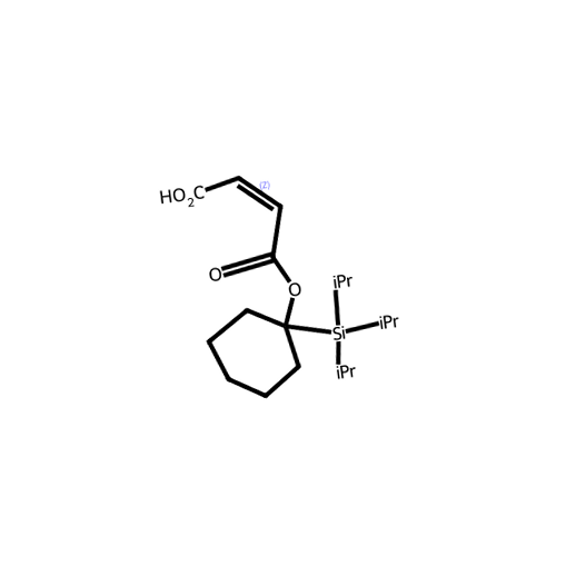 CC(C)[Si](C(C)C)(C(C)C)C1(OC(=O)/C=C\C(=O)O)CCCCC1